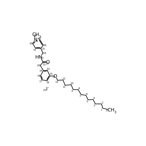 CCCCCCCCCCCCCCOc1cccc(CC(=O)NCc2cc[n+](C)cc2)c1.[I-]